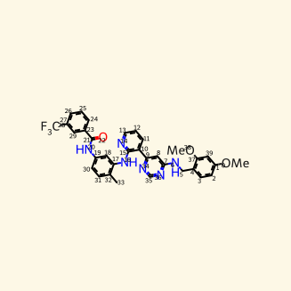 COc1ccc(CNc2cc(-c3cccnc3Nc3cc(NC(=O)c4cccc(C(F)(F)F)c4)ccc3C)ncn2)c(OC)c1